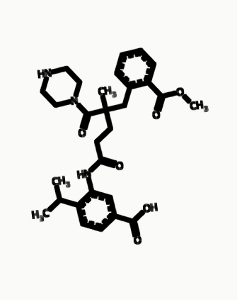 COC(=O)c1ccccc1CC(C)(CCC(=O)Nc1cc(C(=O)O)ccc1C(C)C)C(=O)N1CCNCC1